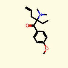 C=CCC(CC)(C(=O)c1ccc(OC)cc1)N(C)C